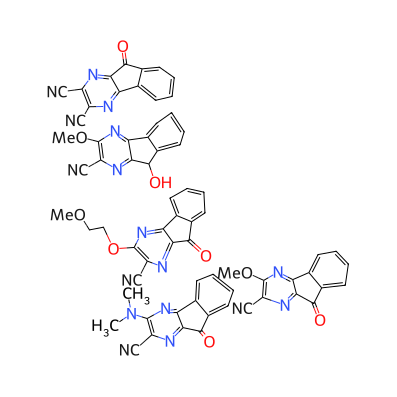 CN(C)c1nc2c(nc1C#N)C(=O)c1ccccc1-2.COCCOc1nc2c(nc1C#N)C(=O)c1ccccc1-2.COc1nc2c(nc1C#N)C(=O)c1ccccc1-2.COc1nc2c(nc1C#N)C(O)c1ccccc1-2.N#Cc1nc2c(nc1C#N)-c1ccccc1C2=O